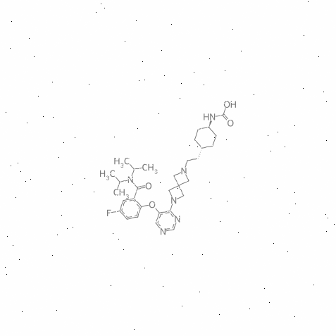 CC(C)N(C(=O)c1cc(F)ccc1Oc1cncnc1N1CC2(CN(CC[C@H]3CC[C@H](NC(=O)O)CC3)C2)C1)C(C)C